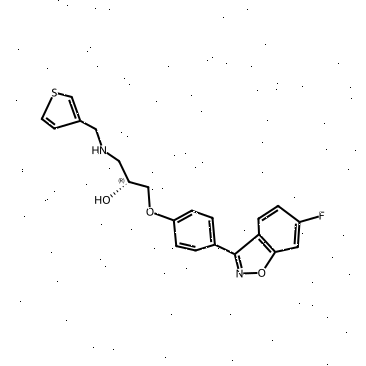 O[C@H](CNCc1ccsc1)COc1ccc(-c2noc3cc(F)ccc23)cc1